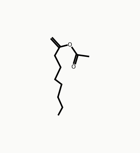 C=C(CCCCCCC)OC(C)=O